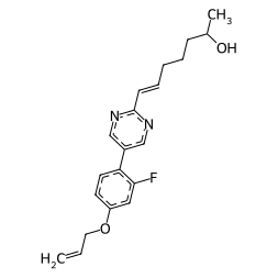 C=CCOc1ccc(-c2cnc(C=CCCCC(C)O)nc2)c(F)c1